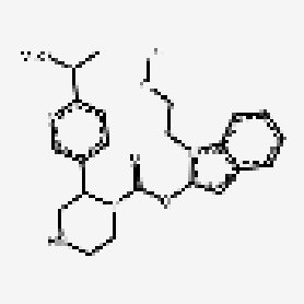 COC(C)c1ccc(C2CNCCN2C(=O)Oc2cc3ccccc3n2CCOC(C)C)cn1